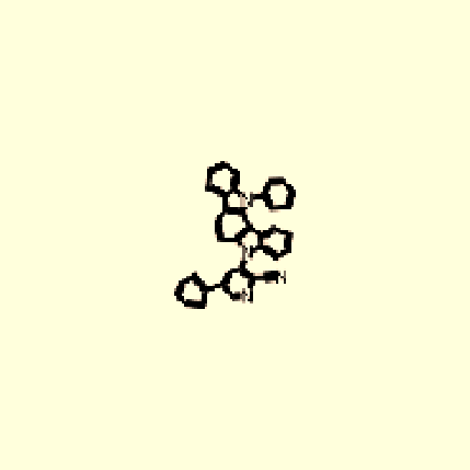 N#Cc1ncc(-c2ccccc2)cc1-n1c2ccccc2c2c1ccc1c3ccccc3n(-c3ccccc3)c12